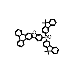 CC1(C)c2ccccc2-c2cc(P(=O)(c3ccc4c(c3)-c3ccccc3C4(C)C)c3ccc4c(c3)oc3cc5c6ccccc6c6ccccc6c5cc34)ccc21